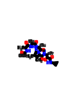 CCC[C@H](NC(=O)[C@@H]1[C@@H](C)[C@@H](C)CN1C(=O)[C@@H](NC(=O)[C@@H](NC(=O)[C@@H](C)NC(=O)OC)C(C)(C)C)C(C)(C)C)C(=O)C(=O)NC1CC1